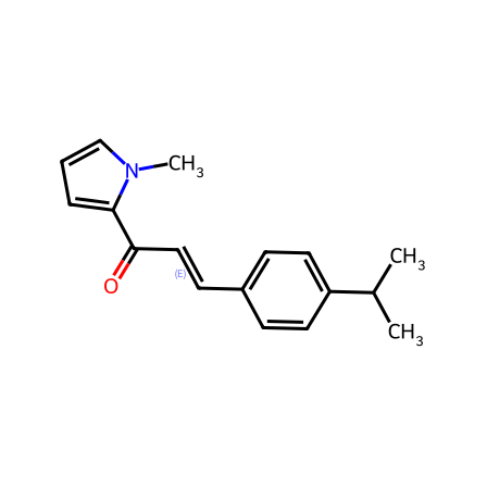 CC(C)c1ccc(/C=C/C(=O)c2cccn2C)cc1